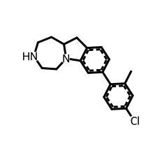 Cc1cc(Cl)ccc1-c1ccc2c(c1)N1CCNCCC1C2